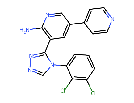 Nc1ncc(-c2ccncc2)cc1-c1nncn1-c1cccc(Cl)c1Cl